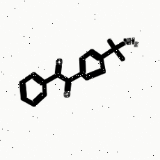 CC(C)(N)c1ccc(C(=O)C(=O)c2ccccc2)cc1